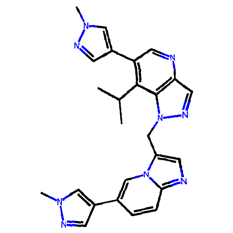 CC(C)c1c(-c2cnn(C)c2)cnc2cnn(Cc3cnc4ccc(-c5cnn(C)c5)cn34)c12